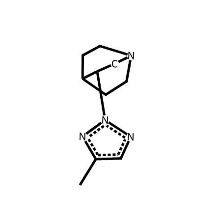 Cc1cnn(C2CN3CCC2CC3)n1